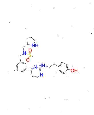 CS(=O)(=O)N(Cc1cccc(-c2ccnc(NCCc3ccc(O)cc3)n2)c1)C[C@@H]1CCCN1